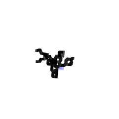 CCCCN(CCCC)CC(O)c1cc(Cl)cc2c1-c1ccc(Cl)cc1/C2=C/c1ccc(C)cc1